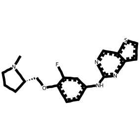 CN1CCC[C@H]1COc1ccc(Nc2ncc3sccc3n2)cc1F